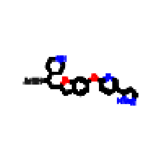 CC(=O)NC(CC1Cc2ccc(Oc3ccc(-c4ccn[nH]4)cn3)cc2O1)C1CCNCC1